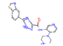 O=C(Nc1cnccc1N1CCNCC1)c1n[nH]c(-c2ccc3scnc3c2)n1